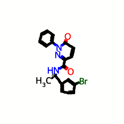 C[C@@H](NC(=O)c1ccc(=O)n(-c2ccccc2)n1)c1cccc(Br)c1